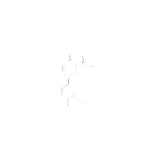 COC(=O)n1nc(-c2ccc(Cl)c(Cl)c2)ccc1=O